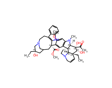 CC[C@]1(O)CC2CN(CCc3c([nH]c4ccccc34)[C@@](C(=O)OC)(c3cc4c(cc3OC)N(C)[C@H]3[C@@](O)(C(C)=O)[C@H](O)[C@]5(CC)C=CCN6CC[C@]43[C@@H]65)C2)C1